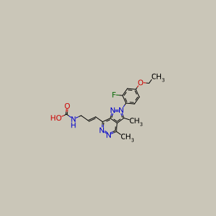 CCOc1ccc(-n2nc3c(/C=C/CNC(=O)O)nnc(C)c3c2C)c(F)c1